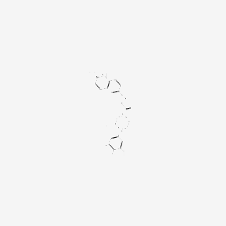 C[C@@H]1CN(C(=O)CNc2ccc3[nH]c(=O)ccc3c2)CCN1c1cc(F)c(Cl)c(F)c1